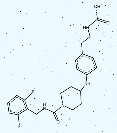 O=C(O)NCCc1ccc(NC2CCN(C(=O)NCc3c(F)cccc3F)CC2)cc1